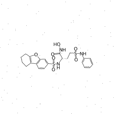 O=C(NO)[C@H](CCS(=O)(=O)Nc1ccccc1)NS(=O)(=O)c1ccc2c3c(oc2c1)CCCC3